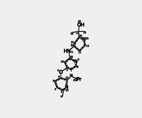 Cc1ccc(Oc2ccnc(Nc3ccnc(C(C)(C)O)c3)c2)c(CC(C)C)n1